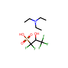 CCN(CC)CC.O=S(=O)(O)C(F)(F)C(O)C(F)(F)F